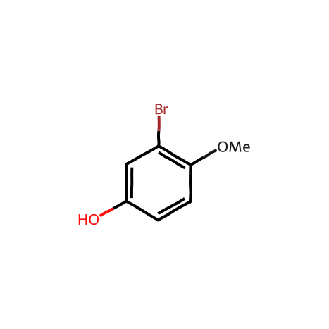 COc1ccc(O)cc1Br